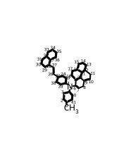 Cc1ccc(N(C2=CCC3=CCc4cccc5ccc2c3c45)c2ccc(C=Cc3cccc4ccccc34)cc2)cc1